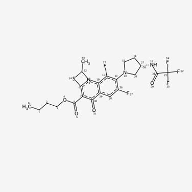 CCCCOC(=O)c1c2n(c3c(F)c(N4CC[C@H](NC(=O)C(F)(F)F)C4)c(F)cc3c1=O)C(C)S2